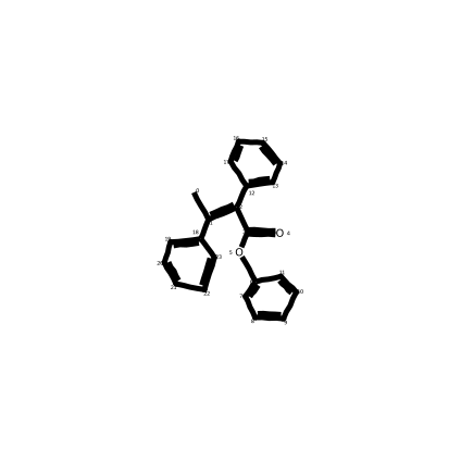 CC(=C(C(=O)Oc1ccccc1)c1ccccc1)c1ccccc1